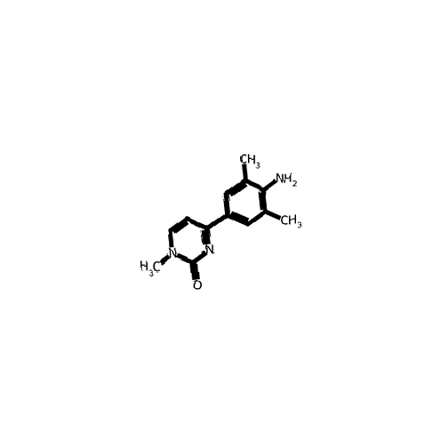 Cc1cc(-c2ccn(C)c(=O)n2)cc(C)c1N